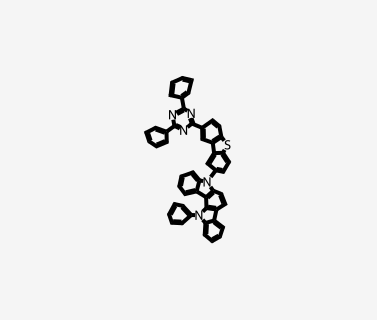 c1ccc(-c2nc(-c3ccccc3)nc(-c3ccc4sc5ccc(-n6c7ccccc7c7c6ccc6c8ccccc8n(-c8ccccc8)c67)cc5c4c3)n2)cc1